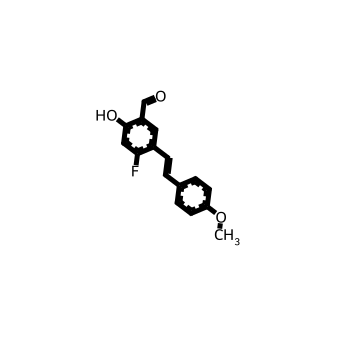 COc1ccc(C=Cc2cc(C=O)c(O)cc2F)cc1